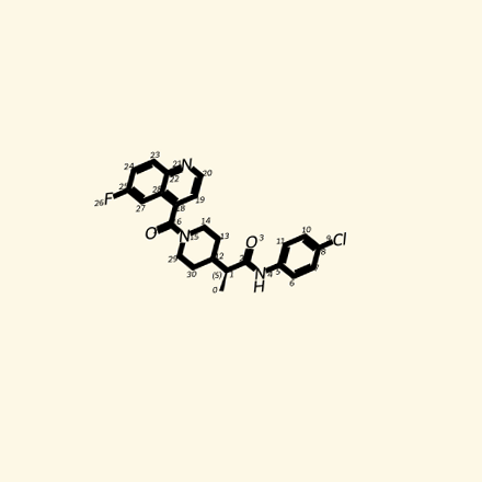 C[C@H](C(=O)Nc1ccc(Cl)cc1)C1CCN(C(=O)c2ccnc3ccc(F)cc23)CC1